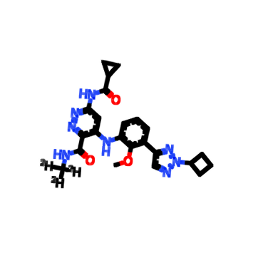 [2H]C([2H])([2H])NC(=O)c1nnc(NC(=O)C2CC2)cc1Nc1cccc(-c2cnn(C3CCC3)n2)c1OC